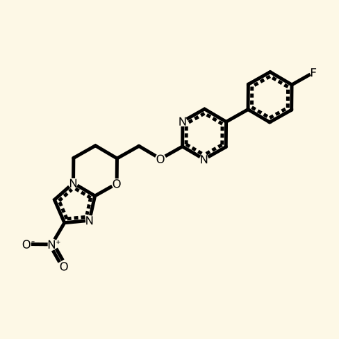 O=[N+]([O-])c1cn2c(n1)OC(COc1ncc(-c3ccc(F)cc3)cn1)CC2